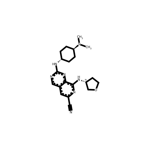 CN(C)[C@H]1CC[C@H](Nc2ncc3cc(C#N)nc(N[C@@H]4CCOC4)c3n2)CC1